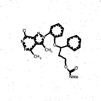 CNC(=O)OCCC(Oc1ccccc1-n1nc2c(Cl)nnc(C)c2c1C)c1ccccc1